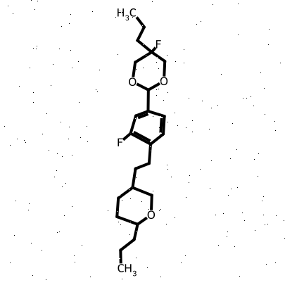 CCCC1CCC(CCc2ccc(C3OCC(F)(CCC)CO3)cc2F)CO1